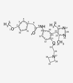 COc1ccc(CC(=O)Nc2ccc(OCCN3CCC3)c(-c3c(C)ncnc3C)c2)cc1